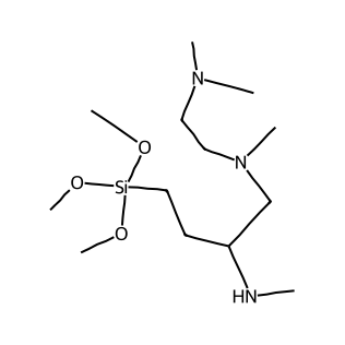 CNC(CC[Si](OC)(OC)OC)CN(C)CCN(C)C